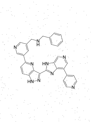 c1ccc(CNCc2cncc(-c3ccc4[nH]nc(-c5nc6c(-c7ccncc7)cncc6[nH]5)c4n3)c2)cc1